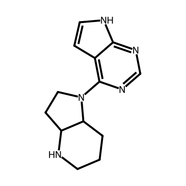 c1nc(N2CCC3NCCCC32)c2cc[nH]c2n1